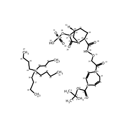 CC(C)(C)OC(=O)N1C=CCN(C(=O)CONC(=O)[C@@H]2CC[C@@H]3CN2C(=O)N3OS(=O)(=O)O)C=C1.CCCC[N+](CCCC)(CCCC)CCCC